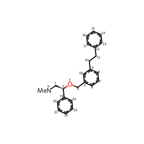 CNC[C@@H](OCc1cccc(CCc2ccccc2)c1)c1ccccc1